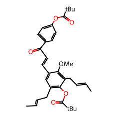 CC=CCc1cc(C=CC(=O)c2ccc(OC(=O)C(C)(C)C)cc2)c(OC)c(CC=CC)c1OC(=O)C(C)(C)C